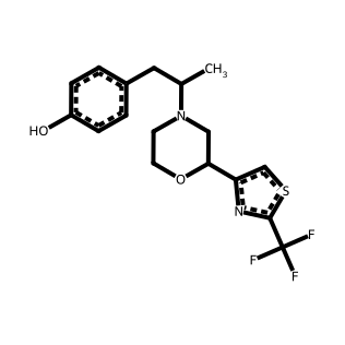 CC(Cc1ccc(O)cc1)N1CCOC(c2csc(C(F)(F)F)n2)C1